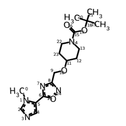 Cn1cncc1-c1nc(COC2CCN(C(=O)OC(C)(C)C)CC2)no1